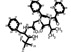 CC(C)C1C(=O)N(CC(=O)NC(Cc2ccccc2)C(O)C(F)(F)F)C(c2ccccc2)=CN1C(=O)c1ccccn1